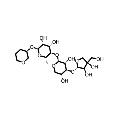 C[C@@H]1O[C@@H](O[C@@H]2CCCOC2)[C@H](O)[C@H](O)[C@H]1O[C@@H]1OC[C@@H](O)[C@H](O[C@@H]2OC[C@](O)(CO)[C@H]2O)[C@H]1O